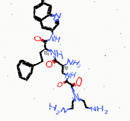 NCCN(CCN)C(=O)C(=O)NC[C@H](N)C(=O)N[C@@H](CCc1ccccc1)C(=O)Nc1cnc2ccccc2c1